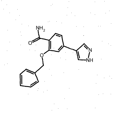 NC(=O)c1ccc(-c2cn[nH]c2)cc1OCc1ccccc1